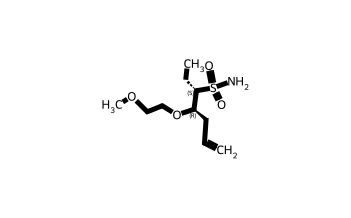 C=CC[C@@H](OCCOC)[C@H](CC)S(N)(=O)=O